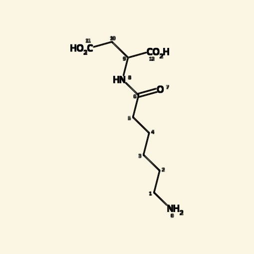 NCCCCCC(=O)NC(CC(=O)O)C(=O)O